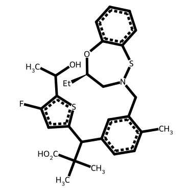 CC[C@@H]1CN(Cc2cc(C(c3cc(F)c(C(C)O)s3)C(C)(C)C(=O)O)ccc2C)Sc2ccccc2O1